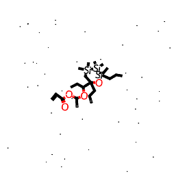 C=CC(=O)OC(C)OC(CC)C1(CCC)C[Si](C)(C)[Si](C)(C)[Si](C)(CCC)O1